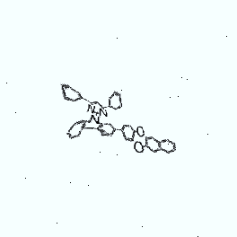 c1ccc(-c2cc(-c3ccccc3)nc(-n3c4ccccc4c4ccc(-c5ccc6c(c5)Oc5cc7ccccc7cc5O6)cc43)n2)cc1